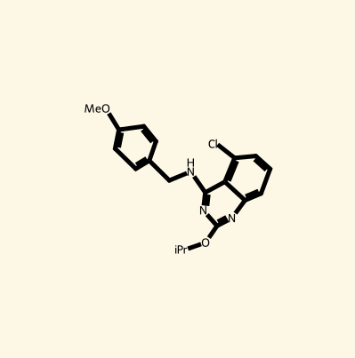 COc1ccc(CNc2nc(OC(C)C)nc3cccc(Cl)c23)cc1